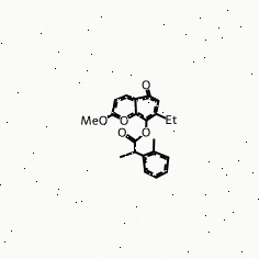 CCc1cc(=O)c2ccc(OC)oc-2c1OC(=O)C(C)c1ccccc1C